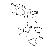 C[C@]12CCC(=O)C[C@@H]1CC[C@@H]1[C@@H]2CC[C@@]2(C)[C@H]1CC[C@@]2(O)CCCN1CCN(C(=O)c2cc(Cc3n[nH]c(=O)c4ccccc34)ccc2F)CC1